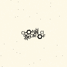 CN(C)S(=O)(=O)c1c(Cl)ccc(NC(=S)Nc2cccc(F)c2Cl)c1O